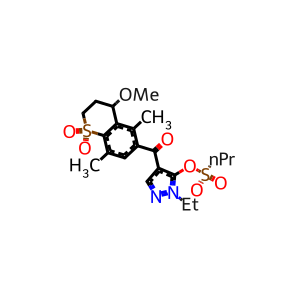 CCCS(=O)(=O)Oc1c(C(=O)c2cc(C)c3c(c2C)C(OC)CCS3(=O)=O)cnn1CC